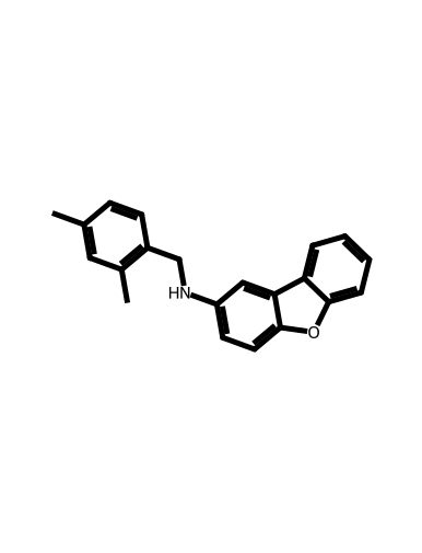 Cc1ccc(CNc2ccc3oc4ccccc4c3c2)c(C)c1